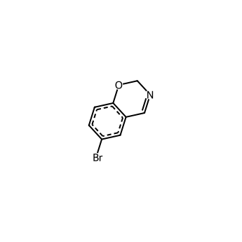 Brc1ccc2c(c1)C=NCO2